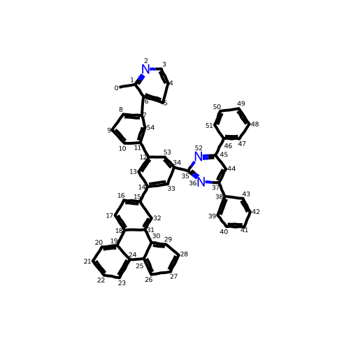 Cc1ncccc1-c1cccc(-c2cc(-c3ccc4c5ccccc5c5ccccc5c4c3)cc(-c3nc(-c4ccccc4)cc(-c4ccccc4)n3)c2)c1